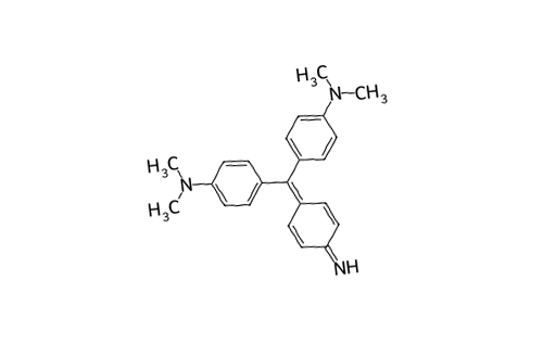 CN(C)c1ccc(C(=C2C=CC(=N)C=C2)c2ccc(N(C)C)cc2)cc1